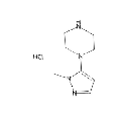 Cl.Cn1nccc1N1CCNCC1